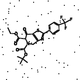 CCOC(=O)C1C(=O)c2sc(-c3ccc(C(F)(F)F)cc3)nc2CN1C(=O)OC(C)(C)C